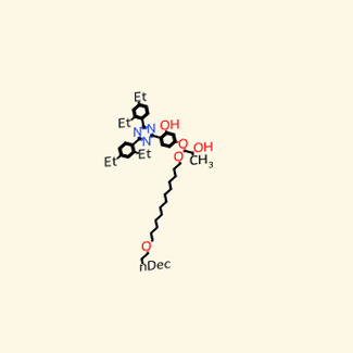 CCCCCCCCCCCCOCCCCCCCCCCCCCOC(Oc1ccc(-c2nc(-c3ccc(CC)cc3CC)nc(-c3ccc(CC)cc3CC)n2)c(O)c1)C(C)O